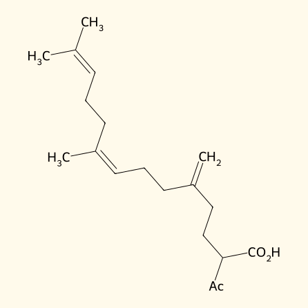 C=C(CCC=C(C)CCC=C(C)C)CCC(C(C)=O)C(=O)O